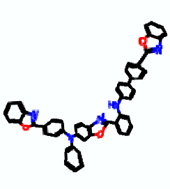 c1ccc(N(c2ccc(-c3nc4ccccc4o3)cc2)c2ccc3nc(-c4ccccc4Nc4ccc(-c5ccc(-c6nc7ccccc7o6)cc5)cc4)oc3c2)cc1